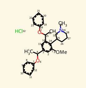 COc1cc(C(C)Oc2ccccc2)cc(C(C)Oc2ccccc2)c1C1CCCN(C)C1.Cl